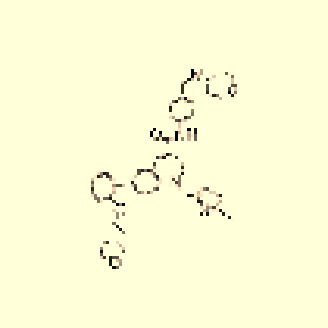 C1CCOC1.CCOc1ccccc1-c1ccc2c(c1)C=C(C(=O)Nc1ccc(CN(C)C3CCOCC3)cc1)CCN2Cc1csc(C)n1